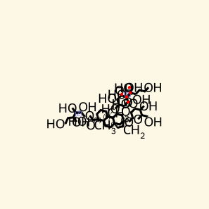 C=C1C[C@@]23CCC4[C@@](C)(CCC[C@@]4(C)C(=O)OC(O)/C(O)=C(/O)C(O)CCO)C2CC[C@]1(OC1OC(CO)C(O)C(OC(O)/C(O)=C(/O)C(O)CCO)C1OC1OC(CO)C(O)C(O)C1O)C3